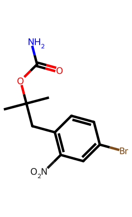 CC(C)(Cc1ccc(Br)cc1[N+](=O)[O-])OC(N)=O